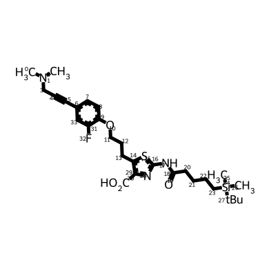 CN(C)CC#Cc1ccc(OCCCc2sc(NC(=O)CCCC[Si](C)(C)C(C)(C)C)nc2C(=O)O)c(F)c1